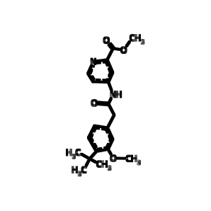 COC(=O)c1cc(NC(=O)Cc2ccc(C(C)(C)C)c(OC)c2)ccn1